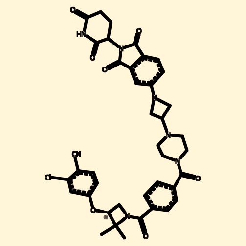 CC1(C)[C@@H](Oc2ccc(C#N)c(Cl)c2)CN1C(=O)c1ccc(C(=O)N2CCN(C3CN(c4ccc5c(c4)C(=O)N(C4CCC(=O)NC4=O)C5=O)C3)CC2)cc1